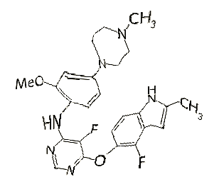 COc1cc(N2CCN(C)CC2)ccc1Nc1ncnc(Oc2ccc3[nH]c(C)cc3c2F)c1F